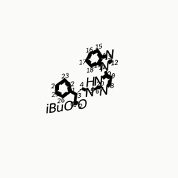 CC(C)COC(=O)[C@@H](CNc1nccc(-n2cnc3ccccc32)n1)c1ccccc1